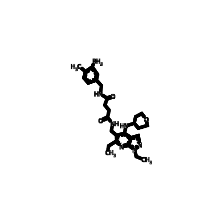 Bc1cc(CNC(=O)CCC(=O)NCc2c(CC)nc3c(cnn3CC)c2NC2CCOCC2)ccc1C